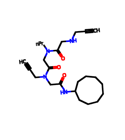 C#CCNCC(=O)N(CCC)CC(=O)N(CC#C)CC(=O)NC1CCCCCCCC1